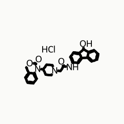 Cl.O=C(CN1CCC(N2C(=O)OCc3ccccc32)CC1)Nc1ccc2c(c1)-c1ccccc1C2O